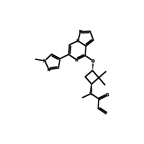 C=CC(=O)N(C)[C@H]1C[C@H](Oc2nc(-c3cnn(C)c3)cn3nccc23)C1(C)C